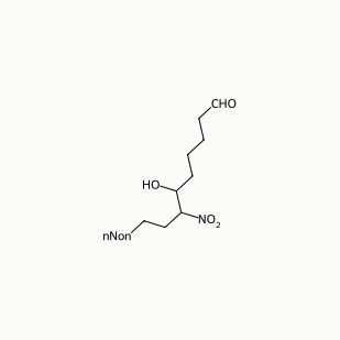 CCCCCCCCCCCC(C(O)CCCCC=O)[N+](=O)[O-]